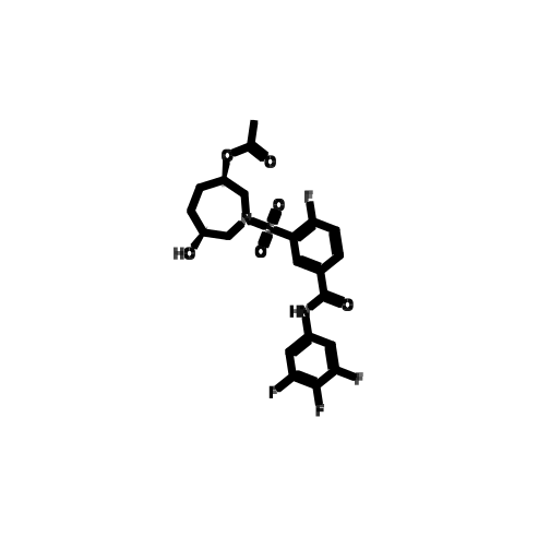 CC(=O)O[C@@H]1CC[C@H](O)CN(S(=O)(=O)c2cc(C(=O)Nc3cc(F)c(F)c(F)c3)ccc2F)C1